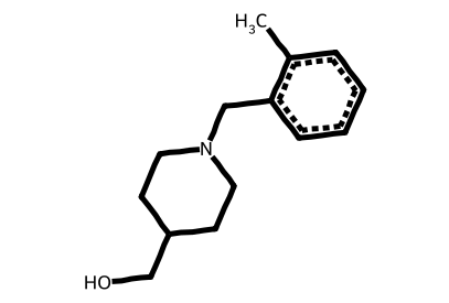 Cc1ccccc1CN1CCC(CO)CC1